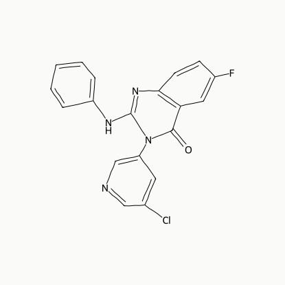 O=c1c2cc(F)ccc2nc(Nc2ccccc2)n1-c1cncc(Cl)c1